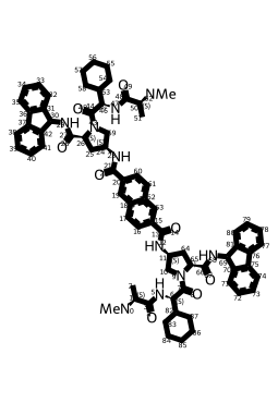 CN[C@@H](C)C(=O)N[C@H](C(=O)N1C[C@@H](NC(=O)c2ccc3cc(C(=O)N[C@H]4C[C@@H](C(=O)NC5c6ccccc6-c6ccccc65)N(C(=O)[C@@H](NC(=O)[C@H](C)NC)C5CCCCC5)C4)ccc3c2)C[C@H]1C(=O)NC1c2ccccc2-c2ccccc21)C1CCCCC1